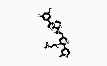 Cc1cc(-c2ncc(CNc3nccn4c(-c5cc(F)cc(F)c5)cnc34)cc2OCCN(C)C)ccn1